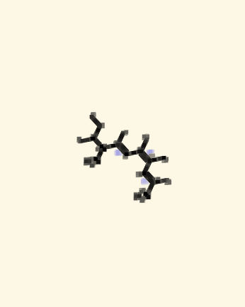 CCC(C)N(N)/C(C)=C/C(C)=C(C)\C=C(/C)N